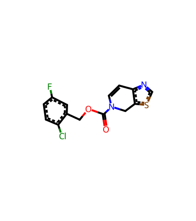 O=C(OCc1cc(F)ccc1Cl)N1C=Cc2ncsc2C1